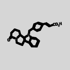 O=C(O)C=Cc1ccc(Cn2c3c(c4ccccc42)CCN2C(=O)CCCC32)cc1